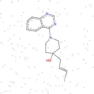 OC1(CC=CI)CCN(c2ncnc3ccccc23)CC1